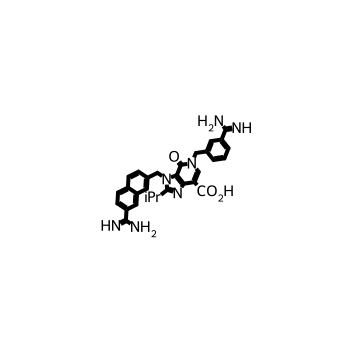 CC(C)c1nc2c(C(=O)O)cn(Cc3cccc(C(=N)N)c3)c(=O)c2n1Cc1ccc2ccc(C(=N)N)cc2c1